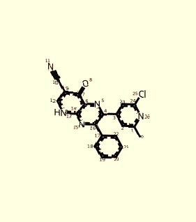 Cc1cc(-c2nc3c(=O)c(C#N)c[nH]c3nc2-c2ccccc2)cc(Cl)n1